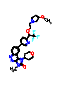 COC1CCN(CCOC(c2ccc(-c3ccc4nnc5c(c4c3)n(C3CCOCC3)c(=O)n5C)cn2)C(F)(F)F)C1